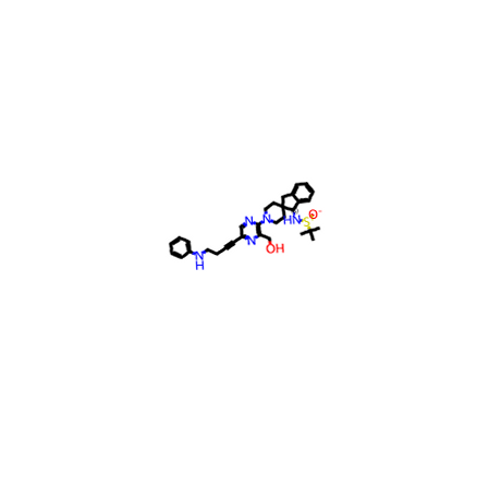 CC(C)(C)[S+]([O-])N[C@@H]1c2ccccc2CC12CCN(c1ncc(C#CCCNc3ccccc3)nc1CO)CC2